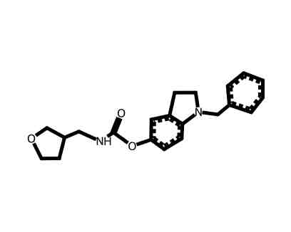 O=C(NCC1CCOC1)Oc1ccc2c(c1)CCN2Cc1ccccc1